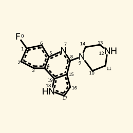 Fc1ccc2c(c1)nc(N1CCNCC1)c1cc[nH]c12